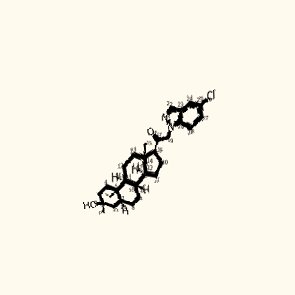 C[C@@]1(O)CC[C@@]2(C)[C@H](CC[C@@H]3[C@@H]2CC[C@]2(C)[C@@H](C(=O)Cn4ncc5cc(Cl)ccc54)CC[C@@H]32)C1